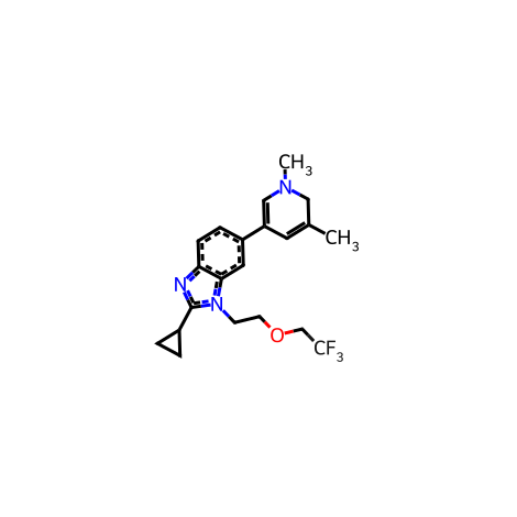 CC1=CC(c2ccc3nc(C4CC4)n(CCOCC(F)(F)F)c3c2)=CN(C)C1